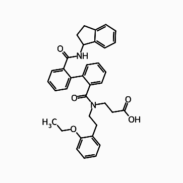 CCOc1ccccc1CCN(CCC(=O)O)C(=O)c1ccccc1-c1ccccc1C(=O)NC1CCc2ccccc21